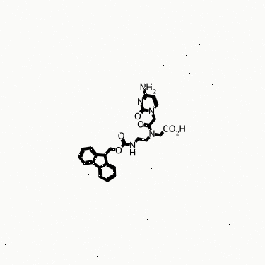 Nc1ccn(CC(=O)N(CCNC(=O)OCC2c3ccccc3-c3ccccc32)CC(=O)O)c(=O)n1